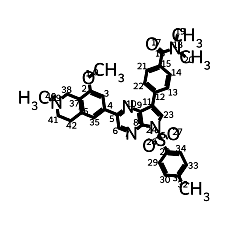 COc1cc(-c2cnc3c(n2)c(-c2ccc(C(=O)N(C)C)cc2)cn3S(=O)(=O)c2ccc(C)cc2)cc2c1CN(C)CC2